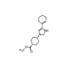 COC(=O)[C@H]1CC[C@@H](N2C=C(C3=CCCCC3)NC2)CC1